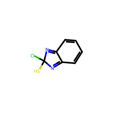 SC1(Cl)N=c2ccccc2=N1